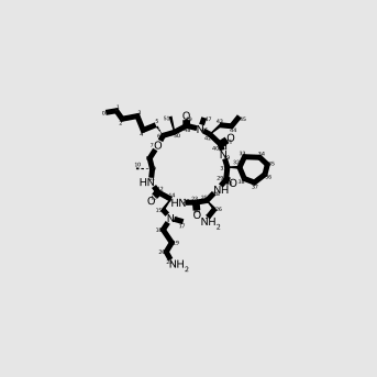 CCCCCC[C@H]1OC[C@@H](C)NC(=O)[C@H](CN(C)CCCN)NC(=O)[C@H](CN)NC(=O)[C@H](C2CCCCCC2)NC(=O)[C@H](CCC)N(C)C(=O)[C@@H]1C